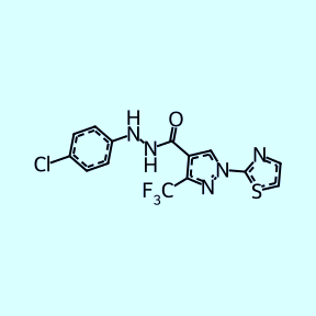 O=C(NNc1ccc(Cl)cc1)c1cn(-c2nccs2)nc1C(F)(F)F